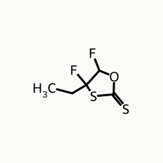 CCC1(F)SC(=S)OC1F